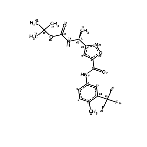 Cc1ccc(NC(=O)c2cc([C@H](C)NC(=O)OC(C)(C)C)no2)cc1C(F)(F)F